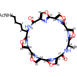 CC(=O)NCCCCC1NC(=O)c2coc(n2)-c2coc(n2)-c2coc(n2)C(C(C)C)NC(=O)c2coc(n2)-c2coc(n2)-c2coc1n2